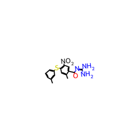 Cc1cccc(Sc2cc(C)c(C(=O)N=C(N)N)cc2[N+](=O)[O-])c1